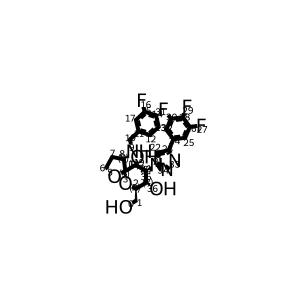 OC[C@H]1O[C@]2(OCC[C@H]2NCc2cccc(F)c2)[C@H](O)[C@@H](n2cc(-c3cc(F)c(F)c(F)c3)nn2)[C@H]1O